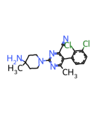 Cc1nc(N2CCC(C)(N)CC2)nc(C#N)c1-c1cccc(Cl)c1Cl